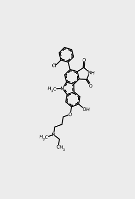 CCN(C)CCCOc1cc2c(cc1O)c1c3c(c(-c4ccccc4Cl)cc1n2C)C(=O)NC3=O